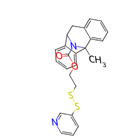 CC12c3ccccc3CC(c3ccccc31)N2C(=O)OCCSSc1cccnc1